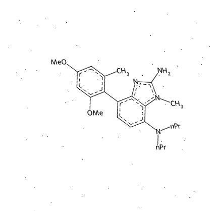 CCCN(CCC)c1ccc(-c2c(C)cc(OC)cc2OC)c2nc(N)n(C)c12